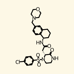 O=C(C[C@@H]1C(=O)NCCN1S(=O)(=O)c1ccc(Cl)cc1)N[C@@H]1CCCc2cc(CN3CCOCC3)ccc21